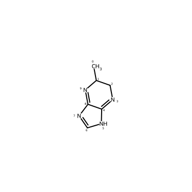 CC1CN=c2[nH]cnc2=N1